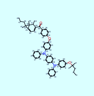 CCCC(C)(C)Oc1ccc(N(c2ccccc2)c2ccc(N(c3ccccc3)c3ccc(Oc4ccc(C(=O)C5=CC=C6C(C)(CCC)C6(C)C5C)cc4)cc3)cc2)cc1